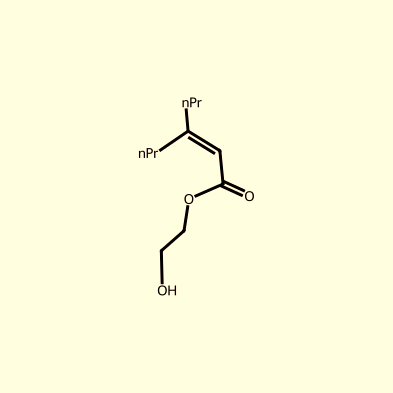 CCCC(=CC(=O)OCCO)CCC